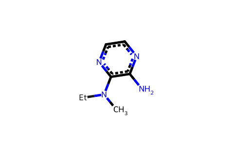 CCN(C)c1nccnc1N